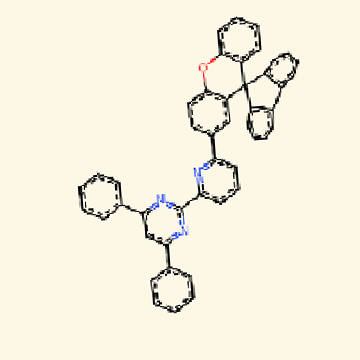 c1ccc(-c2cc(-c3ccccc3)nc(-c3cccc(-c4ccc5c(c4)C4(c6ccccc6O5)c5ccccc5-c5ccccc54)n3)n2)cc1